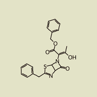 CC(O)=C(C(=O)OCc1ccccc1)N1C(=O)C2N=C(Cc3ccccc3)SC21